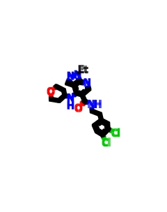 CCn1ncc2c(NC3CCOCC3)c(C(=O)NCCc3ccc(Cl)c(Cl)c3)cnc21